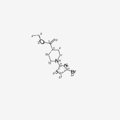 C=C(OCC)C1CCN(c2nc(Br)cs2)CC1